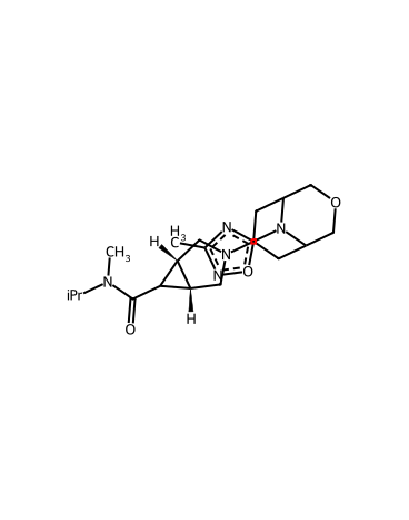 Cc1noc(N2C3COCC2CC(N2C[C@@H]4C(C(=O)N(C)C(C)C)[C@@H]4C2)C3)n1